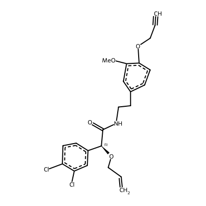 C#CCOc1ccc(CCNC(=O)[C@@H](OCC=C)c2ccc(Cl)c(Cl)c2)cc1OC